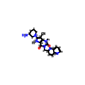 CCn1c(N2CCC[C@@H](N)C2)c(C#N)c2c1c(=O)n(Cc1ccc3ncccc3n1)c(=O)n2C